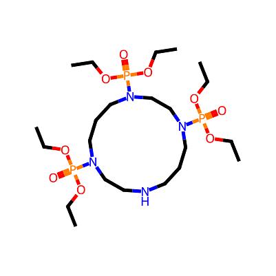 CCOP(=O)(OCC)N1CCCN(P(=O)(OCC)OCC)CCN(P(=O)(OCC)OCC)CCCNCC1